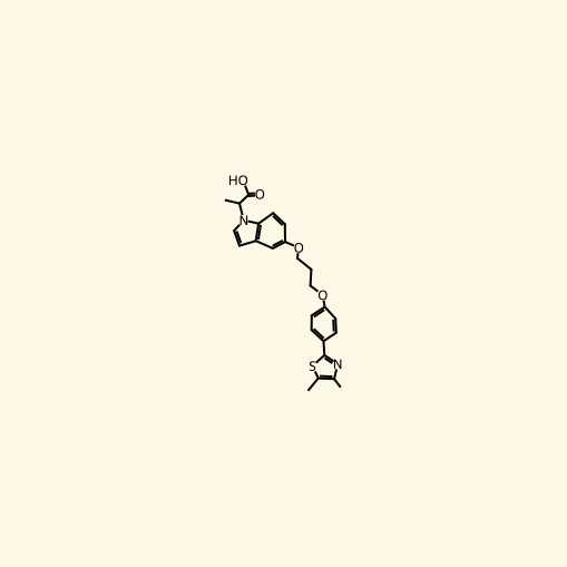 Cc1nc(-c2ccc(OCCCOc3ccc4c(ccn4C(C)C(=O)O)c3)cc2)sc1C